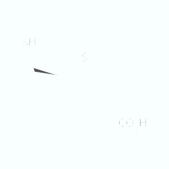 O=C(O)C1CS[C@H](CS)C1